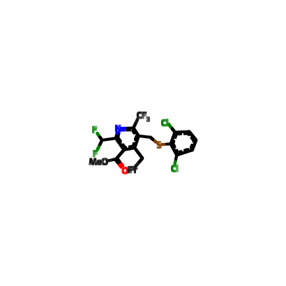 COC(=O)c1c(C(F)F)nc(C(F)(F)F)c(CSc2c(Cl)cccc2Cl)c1CC(C)C